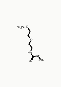 CN(O)CCOCCNC(=O)OC(C)(C)C